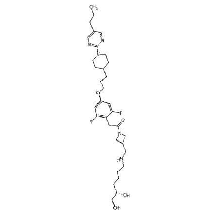 CCCc1cnc(N2CCC(CCCOc3cc(F)c(CC(=O)N4CC(CNCCCC[C@H](O)CO)C4)c(F)c3)CC2)nc1